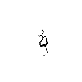 CCC(=O)c1ccc(SC)cc1